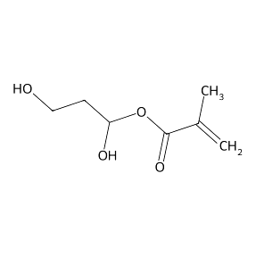 C=C(C)C(=O)OC(O)CCO